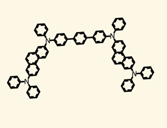 c1ccc(N(c2ccccc2)c2ccc3c(ccc4cc(N(c5ccccc5)c5ccc(-c6ccc(-c7ccc(N(c8ccccc8)c8ccc9c(ccc%10cc(N(c%11ccccc%11)c%11ccccc%11)ccc%109)c8)cc7)cc6)cc5)ccc43)c2)cc1